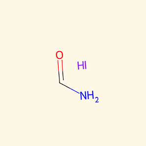 I.NC=O